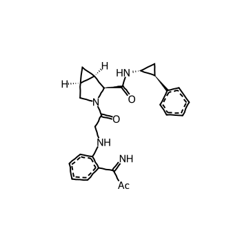 CC(=O)C(=N)c1ccccc1NCC(=O)N1C[C@H]2C[C@H]2[C@H]1C(=O)N[C@@H]1C[C@H]1c1ccccc1